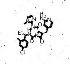 CC[C@@H](NC(=O)N1C(=O)[C@H](Cc2ccnc(N)c2)[C@H]1C(=O)N(C)c1nccn1C)c1ccc(Cl)cc1C